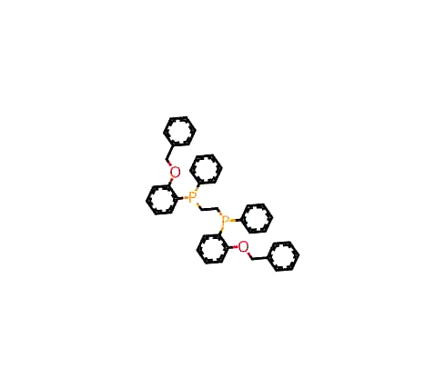 c1ccc(COc2ccccc2P(CCP(c2ccccc2)c2ccccc2OCc2ccccc2)c2ccccc2)cc1